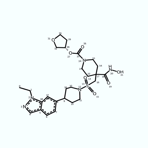 CCn1ncc2ccc(C3CCN(S(=O)(=O)CC4(C(=O)NO)CCN(C(=O)O[C@H]5CCOC5)CC4)CC3)cc21